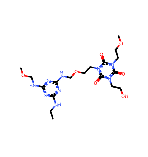 CCNc1nc(NCOC)nc(NCOCCn2c(=O)n(CCO)c(=O)n(CCOC)c2=O)n1